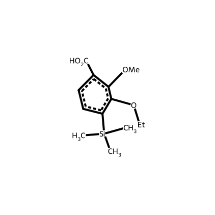 CCOc1c([Si](C)(C)C)ccc(C(=O)O)c1OC